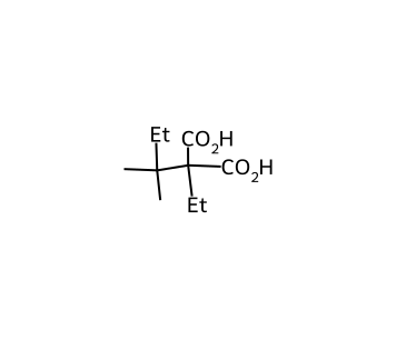 CCC(C)(C)C(CC)(C(=O)O)C(=O)O